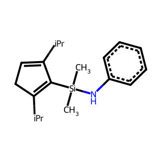 CC(C)C1=CCC(C(C)C)=C1[Si](C)(C)Nc1ccccc1